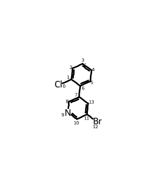 Clc1c[c]ccc1-c1cncc(Br)c1